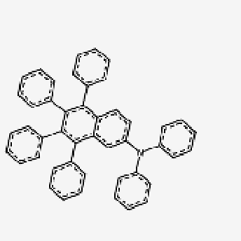 c1ccc(-c2c(-c3ccccc3)c(-c3ccccc3)c3cc(N(c4ccccc4)c4ccccc4)ccc3c2-c2ccccc2)cc1